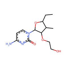 CCC1OC(n2ccc(N)nc2=O)C(OCCO)C1C